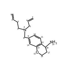 C=CCCN(CC=C)Cc1ccc2c(c1)OCCC2N